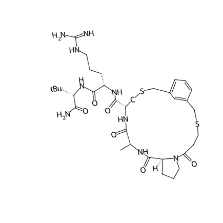 CC1NC(=O)[C@@H]2CCCN2C(=O)CCSCc2cccc(c2)CSC[C@@H](C(=O)N[C@@H](CCCNC(=N)N)C(=O)N[C@H](C(N)=O)C(C)(C)C)NC1=O